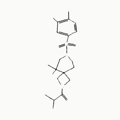 O=C(C(Cl)Cl)N1CC2(CCN(S(=O)(=O)c3ccc(Br)c(F)c3)CC2(F)F)C1